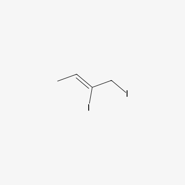 CC=C(I)CI